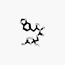 CCN(C(=O)OCC(C)(C)OC(=O)C(C)(C)C)C(C)Cc1ccc2c(c1)OCO2